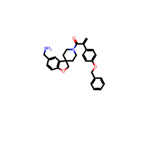 C=C(C(=O)N1CCC2(CC1)COc1ccc(CN)cc12)c1ccc(OCc2ccccc2)cc1